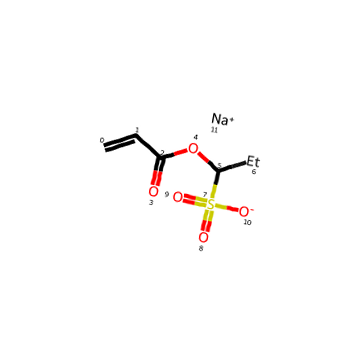 C=CC(=O)OC(CC)S(=O)(=O)[O-].[Na+]